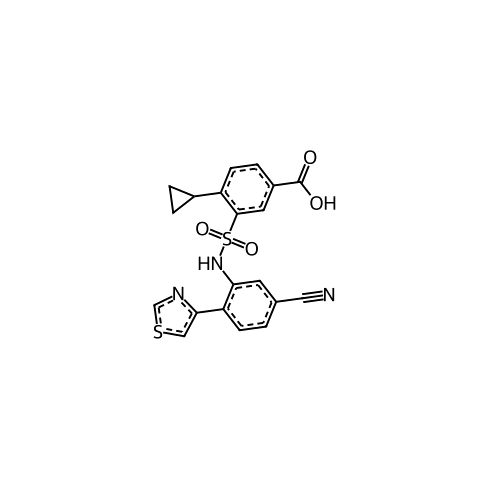 N#Cc1ccc(-c2cscn2)c(NS(=O)(=O)c2cc(C(=O)O)ccc2C2CC2)c1